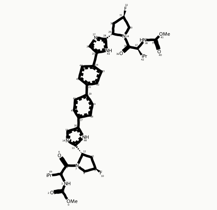 COC(=O)NC(C(=O)N1C[C@H](F)C[C@H]1c1ncc(-c2ccc(-c3ccc(-c4cnc([C@@H]5C[C@@H](F)CN5C(=O)[C@@H](NC(=O)OC)C(C)C)[nH]4)cc3)cc2)[nH]1)C(C)C